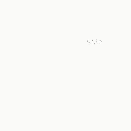 [CH2]Sc1ccccc1